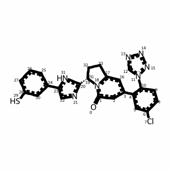 O=c1cc(-c2cc(Cl)ccc2-n2cnnn2)cc2n1[C@H](c1ncc(-c3cccc(S)c3)[nH]1)CC2